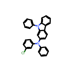 Clc1cccc(N(c2ccccc2)c2ccc3c4ccccc4n(-c4ccccc4)c3c2)c1